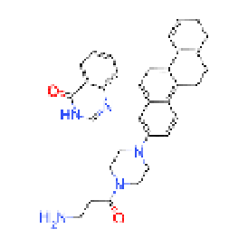 NCCC(=O)N1CCN(c2ccc3c4c(ccc3c2)C2=C(CCC=C2)CC4)CC1.O=c1[nH]cnc2ccccc12